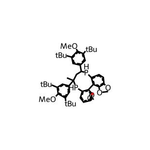 COc1c(C(C)(C)C)cc(C2CC(C)(c3cc(C(C)(C)C)c(OC)c(C(C)(C)C)c3)Pc3ccc4c(c3-c3c(ccc5c3OCO5)P2)OCO4)cc1C(C)(C)C